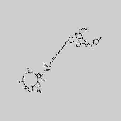 C=C1/C=C(F)\C=C/CC(=O)N(C)Cc2nn(CCNC(=O)OCCOCCOCCOCCN3CCC([C@@H](NC(=O)[C@@H](C)NC)C(=O)N4CCC[C@@H]4C4=NC(C(=O)c5ccc(F)cc5)CS4)CC3)c(C#N)c2-c2cnc(N)c(c2)N2CCC[C@H]12